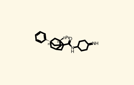 CCC[C@]12CC3CC1(C(=O)NC1CCC(=N)CC1)C[C@@](c1ccccc1)(C3)C2